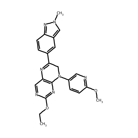 CCOc1ncc2c(n1)N(c1ccc(OC)nc1)CC(c1ccc3nn(C)cc3c1)=N2